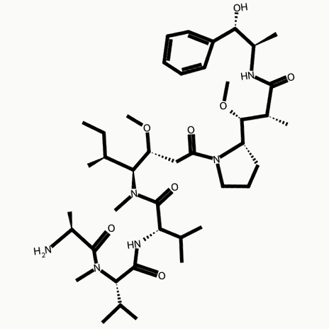 CC[C@H](C)[C@@H]([C@@H](CC(=O)N1CCC[C@H]1[C@H](OC)[C@@H](C)C(=O)N[C@H](C)[C@@H](O)c1ccccc1)OC)N(C)C(=O)[C@@H](NC(=O)[C@H](C(C)C)N(C)C(=O)[C@H](C)N)C(C)C